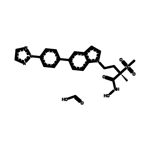 C[C@@](CCn1ccc2cc(-c3ccc(-n4nccn4)cc3)ccc21)(C(=O)NO)S(C)(=O)=O.O=CO